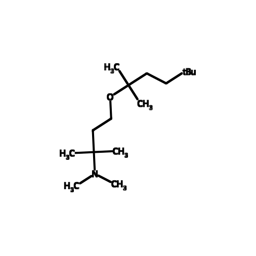 CN(C)C(C)(C)CCOC(C)(C)CCC(C)(C)C